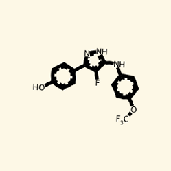 Oc1ccc(-c2n[nH]c(Nc3ccc(OC(F)(F)F)cc3)c2F)cc1